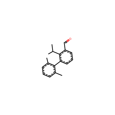 Cc1cccc(C)c1-c1cccc([C]=O)c1C(C)C